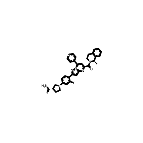 C[C@@H]1c2ccccc2CCN1C(=O)c1cc(-c2ccncc2)n2nc(-c3ccc(N4CC[C@H](C(N)=O)C4)cc3F)cc2n1